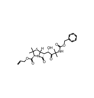 C=CCOC(=O)[C@@H]1N2C(=O)[C@@H]([C@H](O)C(=O)C(C)(C)NC(=O)OCc3ccccc3)[C@H]2SC1(C)C